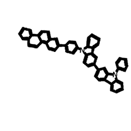 c1ccc(-n2c3ccccc3c3ccc(-c4ccc5c(c4)c4ccccc4n5-c4ccc(-c5ccc6c(ccc7c8ccccc8ccc67)c5)cc4)cc32)cc1